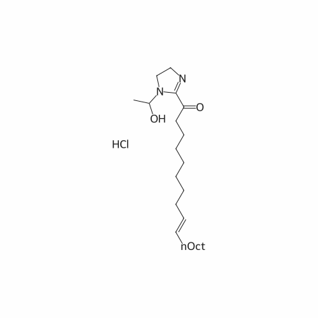 CCCCCCCCC=CCCCCCCCC(=O)C1=NCCN1C(C)O.Cl